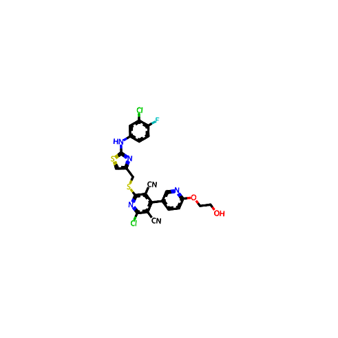 N#Cc1c(Cl)nc(SCc2csc(Nc3ccc(F)c(Cl)c3)n2)c(C#N)c1-c1ccc(OCCO)nc1